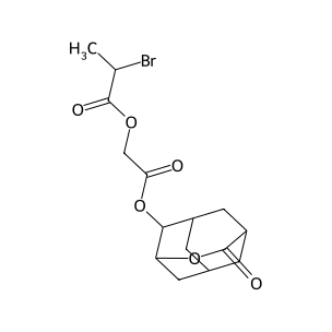 CC(Br)C(=O)OCC(=O)OC1C2CC3CC(C2)C(=O)OC1C3